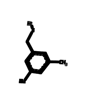 CCSCc1cc(C)cc(C(C)CC)c1